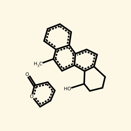 Cc1cc2c3c(ccc2c2ccccc12)CCCC3O.O=c1cccco1